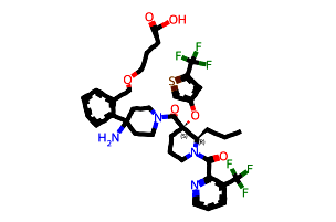 CCC[C@H]1N(C(=O)c2ncccc2C(F)(F)F)CCC[C@@]1(Oc1csc(C(F)(F)F)c1)C(=O)N1CCC(N)(c2ccccc2COCCCC(=O)O)CC1